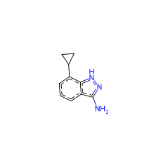 Nc1n[nH]c2c(C3CC3)cccc12